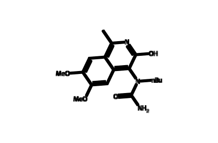 CCCCN(C(N)=O)c1c(O)nc(C)c2cc(OC)c(OC)cc12